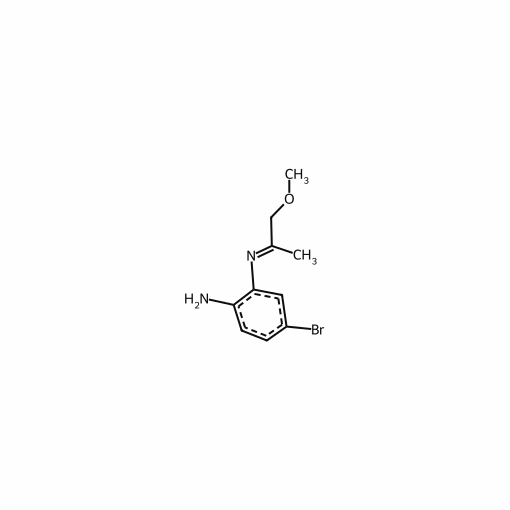 COC/C(C)=N/c1cc(Br)ccc1N